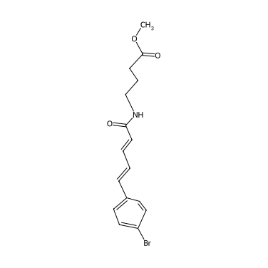 COC(=O)CCCNC(=O)C=CC=Cc1ccc(Br)cc1